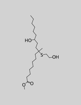 CCCCCCC(O)CCC(C)(CCCCCCCC(=O)OC)SCCO